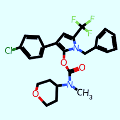 CN(C(=O)Oc1c(-c2ccc(Cl)cc2)cc(C(F)(F)F)n1Cc1ccccc1)C1CCOCC1